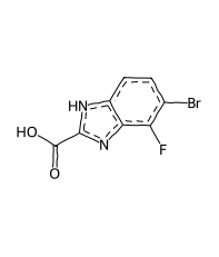 O=C(O)c1nc2c(F)c(Br)ccc2[nH]1